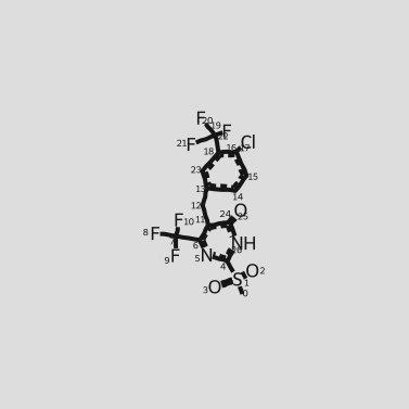 CS(=O)(=O)c1nc(C(F)(F)F)c(Cc2ccc(Cl)c(C(F)(F)F)c2)c(=O)[nH]1